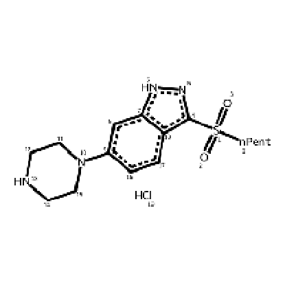 CCCCCS(=O)(=O)c1n[nH]c2cc(N3CCNCC3)ccc12.Cl